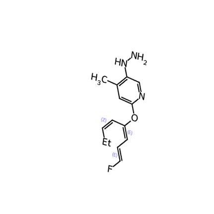 CC\C=C/C(=C\C=C\F)Oc1cc(C)c(NN)cn1